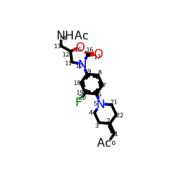 CC(=O)C=C1CCN(c2ccc(N3CC(CNC(C)=O)OC3=O)cc2F)CC1